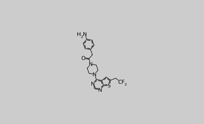 Nc1ccc(CC(=O)N2CCN(c3ncnc4sc(CC(F)(F)F)cc34)CC2)cc1